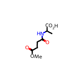 COC(=O)CCC(=O)NC(C)C(=O)O